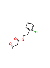 CC(=O)CC(=O)OCCc1ccccc1Cl